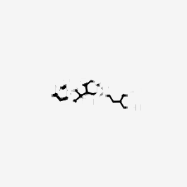 C#C[C@]1(C)[C@@H]2CP(=O)(OCCC(CO)C(=O)OC(C)C)OC[C@H]2O[C@H]1n1ccc(=O)[nH]c1=O